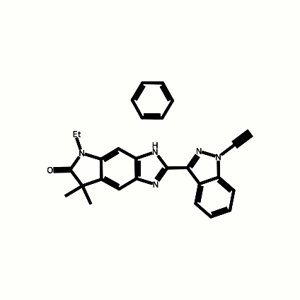 C#Cn1nc(-c2nc3cc4c(cc3[nH]2)N(CC)C(=O)C4(C)C)c2ccccc21.c1ccccc1